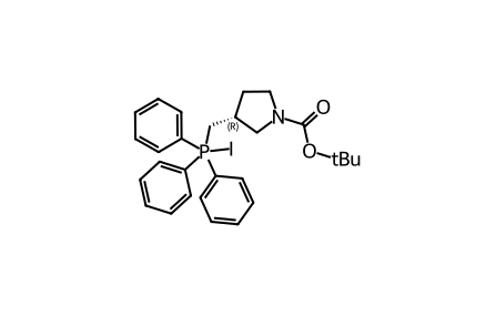 CC(C)(C)OC(=O)N1CC[C@@H](CP(I)(c2ccccc2)(c2ccccc2)c2ccccc2)C1